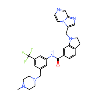 CN1CCN(Cc2cc(NC(=O)c3ccc4c(c3)N(Cc3cnc5cnccn35)CC4)cc(C(F)(F)F)c2)CC1